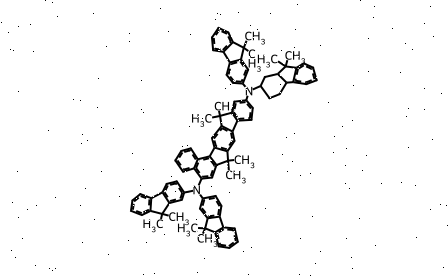 CC1(C)c2ccccc2-c2ccc(N(c3ccc4c(c3)C(C)(C)c3ccccc3-4)c3cc4c(c5ccccc35)-c3cc5c(cc3C4(C)C)-c3ccc(N(c4ccc6c(c4)C(C)(C)c4ccccc4-6)C4CCC6c7ccccc7C(C)(C)C6C4)cc3C5(C)C)cc21